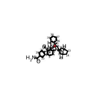 Cc1nc2ccccc2n1C1C[C@H]2CC[C@@H](C1)N2CCC(CNS(=O)(=O)c1ccc(C(N)=O)cc1)c1ccccc1